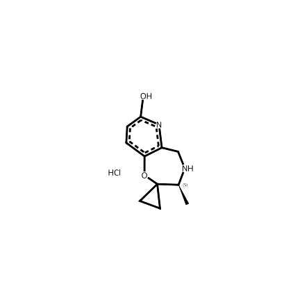 C[C@@H]1NCc2nc(O)ccc2OC12CC2.Cl